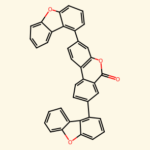 O=c1oc2cc(-c3cccc4oc5ccccc5c34)ccc2c2ccc(-c3cccc4oc5ccccc5c34)cc12